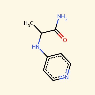 CC(Nc1ccncc1)C(N)=O